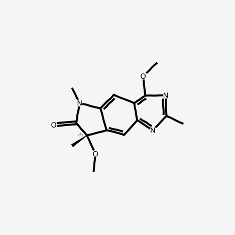 COc1nc(C)nc2cc3c(cc12)N(C)C(=O)[C@@]3(C)OC